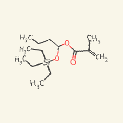 C=C(C)C(=O)OC(CCC)O[Si](CC)(CC)CC